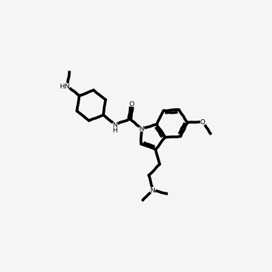 CNC1CCC(NC(=O)n2cc(CCN(C)C)c3cc(OC)ccc32)CC1